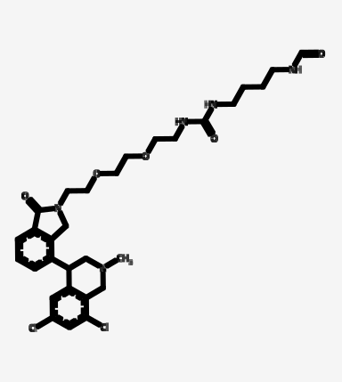 CN1Cc2c(Cl)cc(Cl)cc2C(c2cccc3c2CN(CCOCCOCCNC(=O)NCCCCNC=O)C3=O)C1